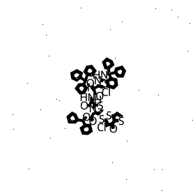 O=C(NC1C(=O)N2C(C(=O)OC(c3ccccc3)c3ccccc3)=C(Sc3sc4ccsc4c(=O)c3Cl)CS[C@@H]12)C(=NOC(c1ccccc1)(c1ccccc1)c1ccccc1)c1nc(NC(c2ccccc2)(c2ccccc2)c2ccccc2)sc1Cl